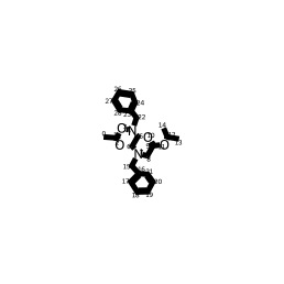 CC(=O)ON(CCN(CC(=O)OC(C)C)Cc1ccccc1)Cc1ccccc1